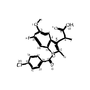 COc1cc2c(C(C)C(=O)O)c(C)n(C(=O)c3ccc(Cl)cc3)c2cc1F